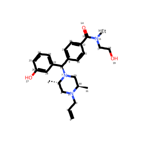 C=CCN1C[C@H](C)N([C@H](c2ccc(C(=O)N(CC)CCO)cc2)c2cccc(O)c2)C[C@H]1C